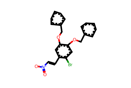 O=[N+]([O-])C=Cc1cc(OCc2ccccc2)c(OCc2ccccc2)cc1Br